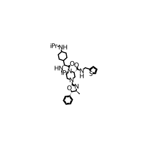 CC(C)NC1CCC([C@@H](NC(C)C)C(=O)N2CCN(C3=N[C@@H](C)[C@H](c4ccccc4)O3)C[C@H]2C(=O)NCc2cccs2)CC1